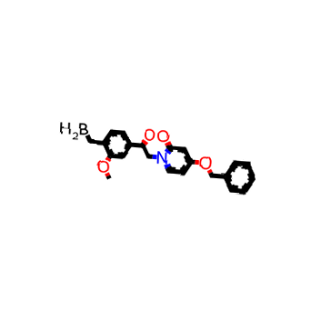 BCc1ccc(C(=O)Cn2ccc(OCc3ccccc3)cc2=O)cc1OC